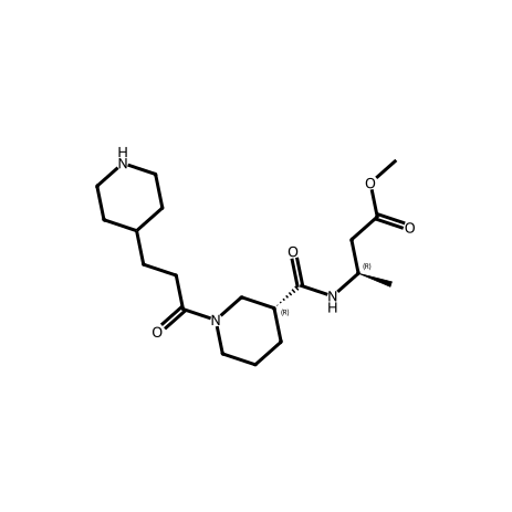 COC(=O)C[C@@H](C)NC(=O)[C@@H]1CCCN(C(=O)CCC2CCNCC2)C1